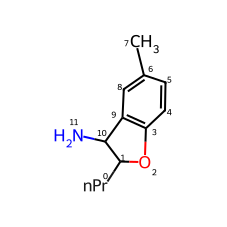 CCCC1Oc2ccc(C)cc2C1N